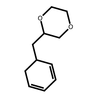 C1=CCC(CC2COCCO2)C=C1